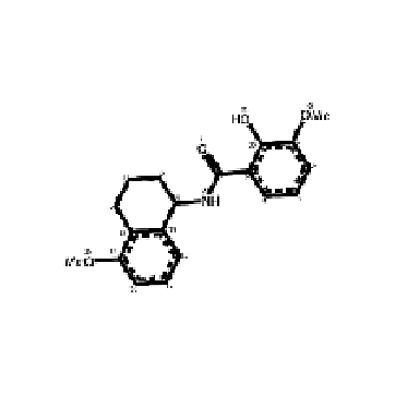 COc1cccc(C(=O)NC2CCCc3c(OC)cccc32)c1O